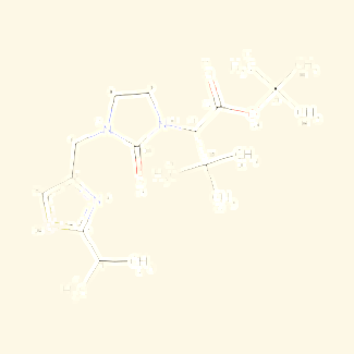 CC(C)c1nc(CN2CCN([C@H](C(=O)OC(C)(C)C)C(C)(C)C)C2=O)cs1